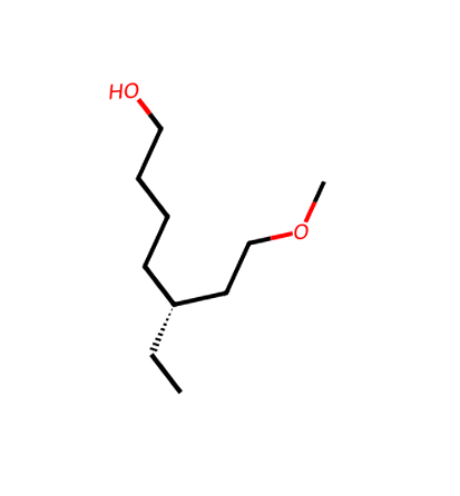 CC[C@H](CCCCO)CCOC